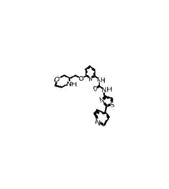 O=C(Nc1cccc(OCC2COCCN2)n1)Nc1csc(-c2ccncc2)n1